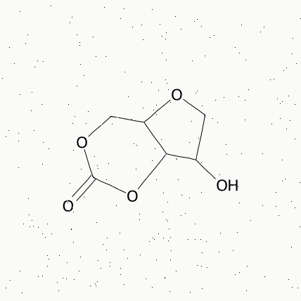 O=C1OCC2OCC(O)C2O1